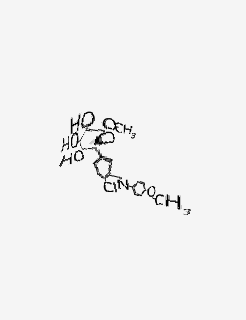 CCOc1ccc(N=Cc2cc([C@@H]3O[C@H](OC)[C@@H](O)[C@H](O)[C@H]3O)ccc2Cl)cc1